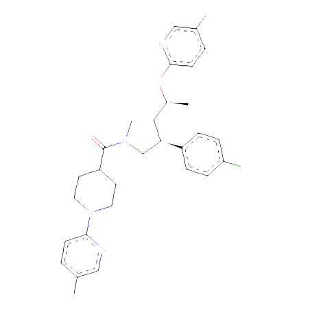 CC(=O)c1ccc(N2CCC(C(=O)N3C[C@H]([C@H](C)Oc4ccc(Cl)cn4)[C@@H](c4ccc(Cl)cc4)C3)CC2)nc1